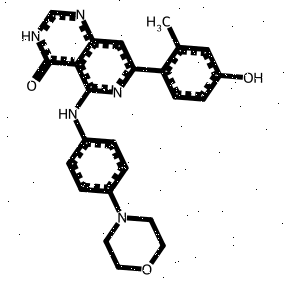 Cc1cc(O)ccc1-c1cc2nc[nH]c(=O)c2c(Nc2ccc(N3CCOCC3)cc2)n1